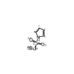 CC(C)(C)S(=O)(=O)n1cccc1